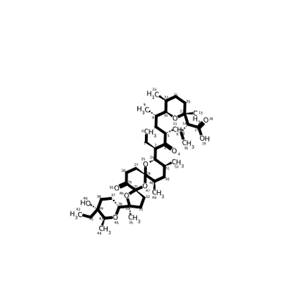 CC[C@@H](C(=O)[C@@H](C)C[C@H](C)[C@@H]1O[C@@](C)([C@@H](CC)C(=O)O)CC[C@@H]1C)[C@H]1O[C@]2(CCC(=O)[C@]3(CC[C@@](C)([C@H]4CC[C@](O)(CC)[C@H](C)O4)O3)O2)[C@H](C)C[C@@H]1C